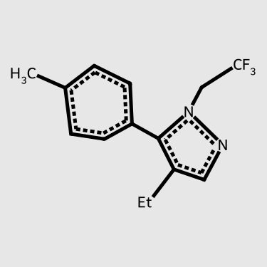 CCc1cnn(CC(F)(F)F)c1-c1ccc(C)cc1